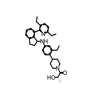 C[CH]c1ccc(CC)c(-c2cccc3c2C(Nc2ccc(C4CCN(C(=O)[C@H](C)O)CC4)c(CC)c2)CC3)n1